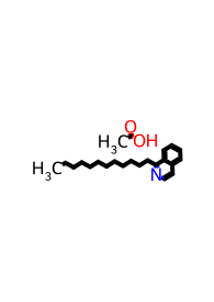 CC(=O)O.CCCCCCCCCCCCc1nccc2ccccc12